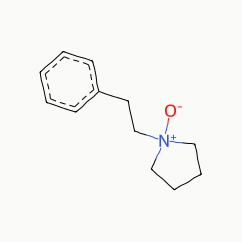 [O-][N+]1(CCc2ccccc2)CCCC1